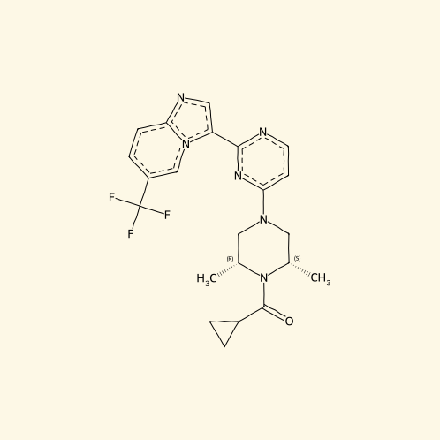 C[C@@H]1CN(c2ccnc(-c3cnc4ccc(C(F)(F)F)cn34)n2)C[C@H](C)N1C(=O)C1CC1